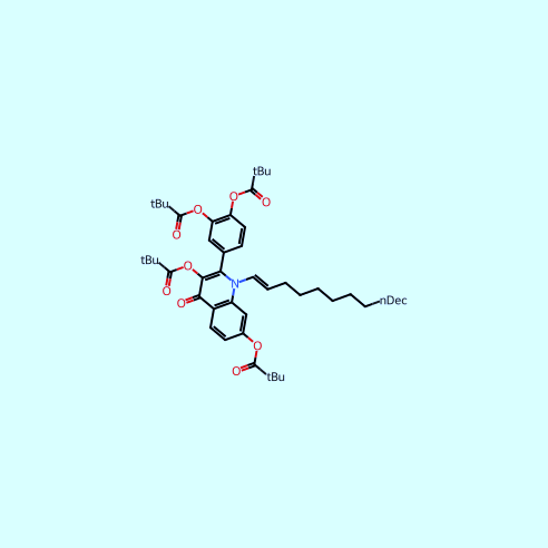 CCCCCCCCCCCCCCCCC=Cn1c(-c2ccc(OC(=O)C(C)(C)C)c(OC(=O)C(C)(C)C)c2)c(OC(=O)C(C)(C)C)c(=O)c2ccc(OC(=O)C(C)(C)C)cc21